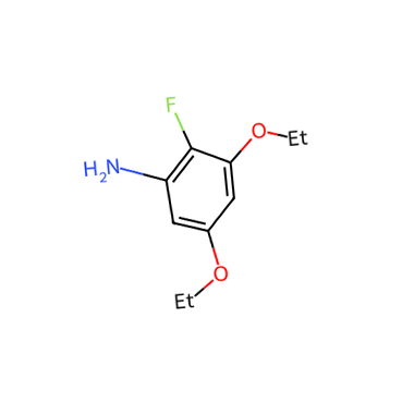 CCOc1cc(N)c(F)c(OCC)c1